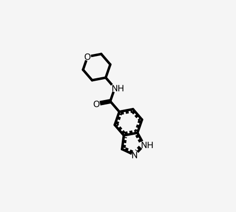 O=C(NC1CCOCC1)c1ccc2[nH]ncc2c1